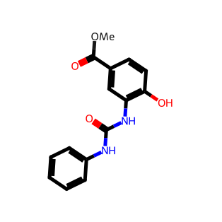 COC(=O)c1ccc(O)c(NC(=O)Nc2ccccc2)c1